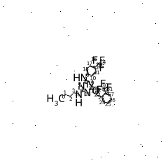 CCCCNc1nc(Nc2ccc(C(F)(F)F)cc2)nc(OCc2ccccc2C(F)(F)F)n1